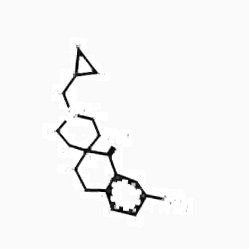 Nc1ccc2c(c1)C(=O)C1(CC2)CCN(CC2CC2)CC1